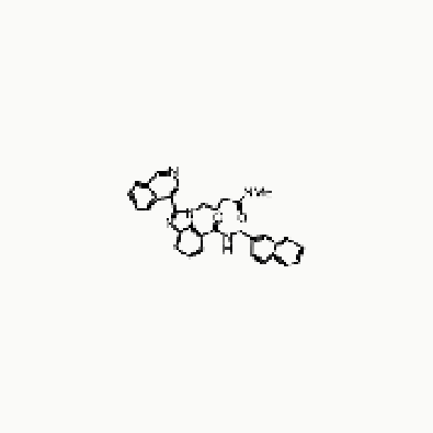 CNC(=O)CCCn1c(-c2cncc3ccccc23)nc2cccc(C(=O)NCc3ccc4ccccc4c3)c21